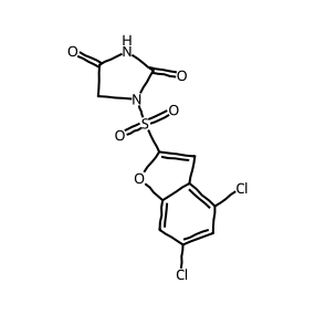 O=C1CN(S(=O)(=O)c2cc3c(Cl)cc(Cl)cc3o2)C(=O)N1